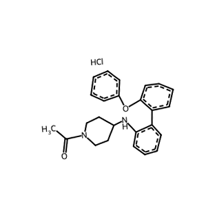 CC(=O)N1CCC(Nc2ccccc2-c2ccccc2Oc2ccccc2)CC1.Cl